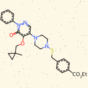 CCOC(=O)c1ccc(CSN2CCN(c3cnn(-c4ccccc4)c(=O)c3OCC3(C)CC3)CC2)cc1